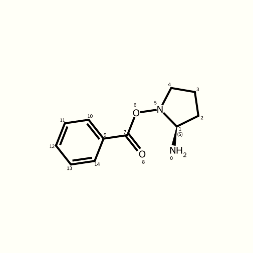 N[C@@H]1CCCN1OC(=O)c1ccccc1